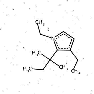 CCc1ccn(CC)c1C(C)(C)CC